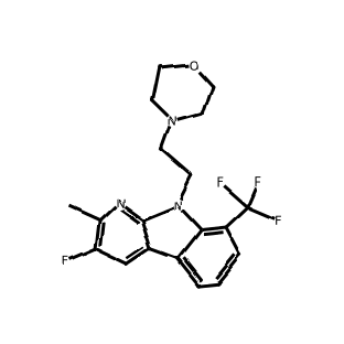 Cc1nc2c(cc1F)c1cccc(C(F)(F)F)c1n2CCN1CCOCC1